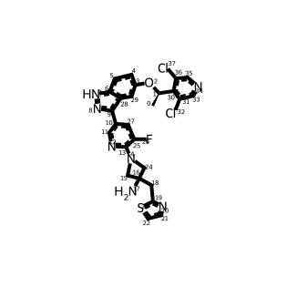 C[C@@H](Oc1ccc2[nH]nc(-c3cnc(N4CC(N)(Cc5nccs5)C4)c(F)c3)c2c1)c1c(Cl)cncc1Cl